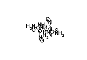 NC(=O)c1cc(N)c(NC/C=C/CNc2c(N)cc(C(N)=O)cc2OCCCN2CCOCC2)c(OCCCN2CCOCC2)c1